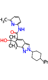 Cc1cccc(NC(=O)c2cc3cn(C4CCC(C(C)C)CC4)nc3cc2C(C)(C)O)n1